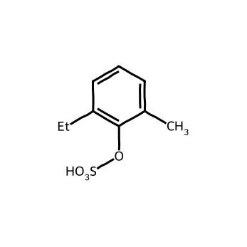 CCc1cccc(C)c1OS(=O)(=O)O